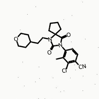 Cc1c(N2C(=O)N(CCC3CCOCC3)C3(CCCC3)C2=O)ccc(C#N)c1Cl